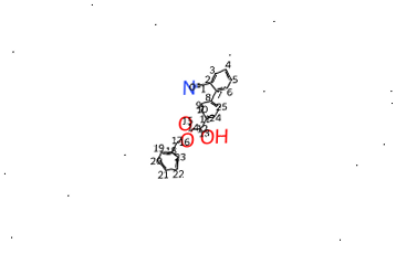 N#Cc1ccccc1-c1ccc(C(O)C(=O)OCc2ccccc2)cc1